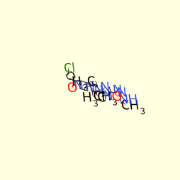 CCNc1nnc(-c2cnc(N3C[C@H](C)N(C4CCN(C(=O)c5ccc(Cl)cc5)CC4)C[C@H]3C)c(C)n2)o1